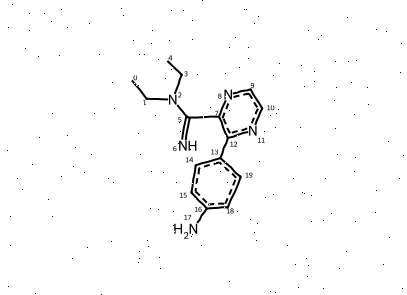 CCN(CC)C(=N)c1nccnc1-c1ccc(N)cc1